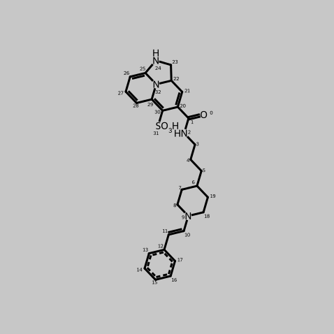 O=C(NCCCC1CCN(C=Cc2ccccc2)CC1)C1=CC2CNC3=CC=CC(=C1S(=O)(=O)O)N32